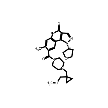 COCC1(CN2CCN(C(=O)c3cc4c(cc3C)[nH]c(=O)c3cnn([C@H]5CCOC5)c34)CC2)CC1